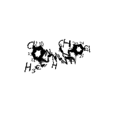 CCn1c(N=NNc2nc3cc(Cl)ccc3n2CC)nc2cc(Cl)ccc21